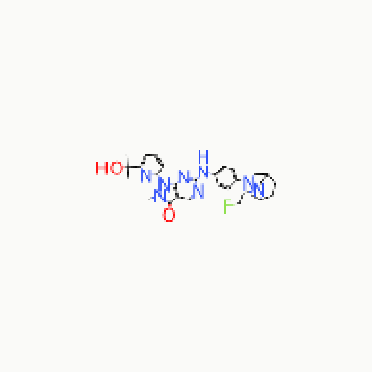 Cn1c(=O)c2cnc(Nc3ccc(N4CC5CCC(C4)N(CCF)C5)cc3)nc2n1-c1cccc(C(C)(C)O)n1